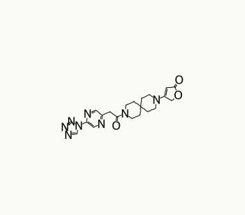 O=C1C=C(N2CCC3(CCN(C(=O)Cc4cnc(-n5cnnn5)cn4)CC3)CC2)CO1